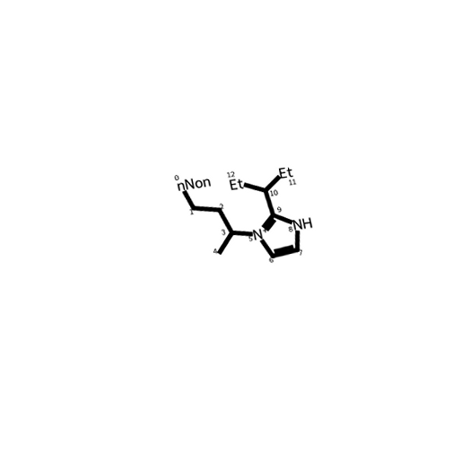 CCCCCCCCCCCC(C)[n+]1cc[nH]c1C(CC)CC